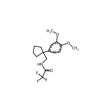 COc1ccc(C2(CNC(=O)C(F)(F)F)CCCC2)cc1OC